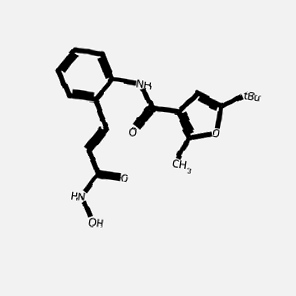 Cc1oc(C(C)(C)C)cc1C(=O)Nc1ccccc1C=CC(=O)NO